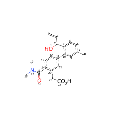 C=CC(O)c1ccc(C)cc1-c1ccc(C(=O)N(C)C)c(CC(=O)O)c1